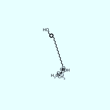 C[N+](C)(C)CCOP(=O)(O)OCCCCCCCCCCCCCCCCCCc1ccc(CCO)cc1